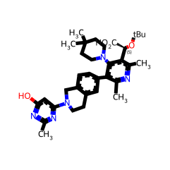 Cc1nc(O)cc(N2CCc3cc(-c4c(C)nc(C)c([C@H](OC(C)(C)C)C(=O)O)c4N4CCC(C)(C)CC4)ccc3C2)n1